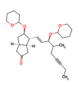 CCC#CCC(C)[C@@H](C=C[C@@H]1[C@H]2CC(=O)C[C@H]2C[C@H]1OC1CCCCO1)OC1CCCCO1